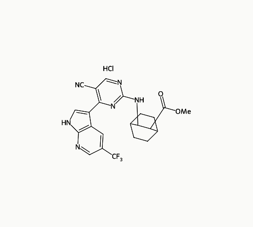 COC(=O)C1C2CCC(CC2)C1Nc1ncc(C#N)c(-c2c[nH]c3ncc(C(F)(F)F)cc23)n1.Cl